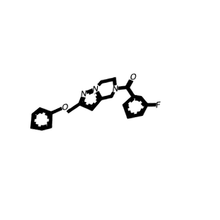 O=C(c1cccc(F)c1)N1CCn2nc(COc3ccccc3)cc2C1